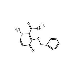 CNC(=O)c1c(OCc2ccccc2)c(=O)ccn1N